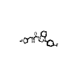 CN1CCC(CNC(=O)N2CCN(c3ccc(F)cc3)c3ccccc32)C1